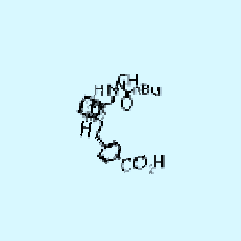 CCCCC(=O)N(C)N=C[C@H]1[C@@H](CCc2ccc(C(=O)O)cc2)[C@H]2CC[C@@H]1O2